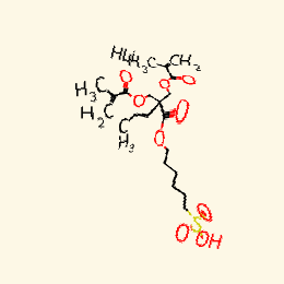 C=C(C)C(=O)OCC(CCC)(COC(=O)C(=C)C)C(=O)OCCCCCCS(=O)(=O)O.[LiH]